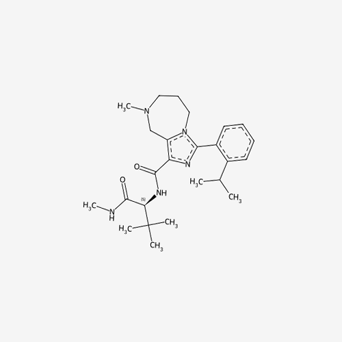 CNC(=O)[C@@H](NC(=O)c1nc(-c2ccccc2C(C)C)n2c1CN(C)CCC2)C(C)(C)C